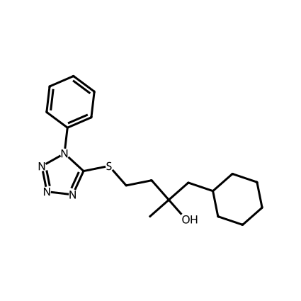 CC(O)(CCSc1nnnn1-c1ccccc1)CC1CCCCC1